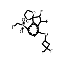 O=S(=O)(CF)c1ccc(OC2CC(F)(F)C2)c2c1C1(OCCO1)C(F)C2F